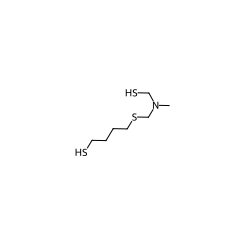 CN(CS)CSCCCCS